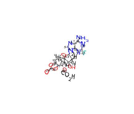 [2H]C1([2H])[C@H](n2cnc3c(N)nc(F)nc32)O[C@@](C#C)(C([2H])([2H])C(OC(=O)O)c2oc(=O)oc2C)[C@H]1O